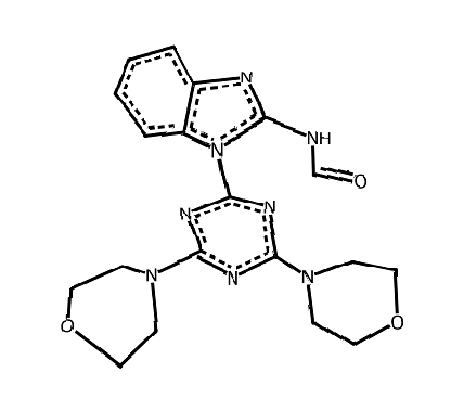 O=CNc1nc2ccccc2n1-c1nc(N2CCOCC2)nc(N2CCOCC2)n1